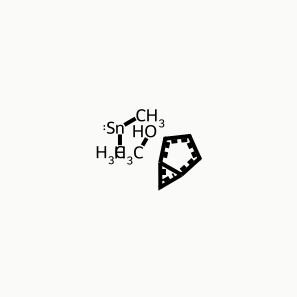 CO.[CH3][Sn][CH3].c1cc2cc-2c1